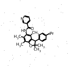 Cc1c(C)c2c(c(C)c1NC(=O)c1cccnc1)C(c1ccc(C(C)C)cc1)C(C)(C)O2